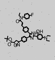 CCN(CC)c1ccc(-c2nc(-c3ccc(C4=NOC(C(=O)OC(C)(C)C)C4)cc3)c(-c3ccc(C=CC(=O)N(CC)c4ccc(F)cc4)cc3)[nH]2)c(O)c1